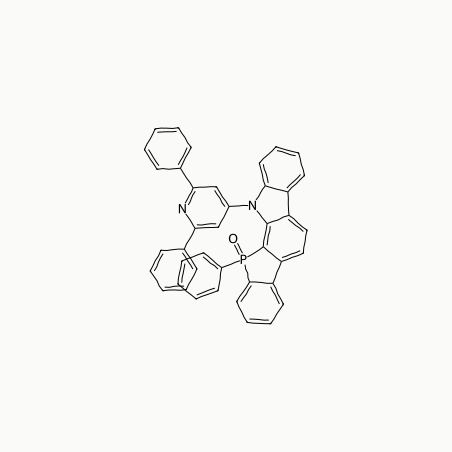 O=P1(c2ccccc2)c2ccccc2-c2ccc3c4ccccc4n(-c4cc(-c5ccccc5)nc(-c5ccccc5)c4)c3c21